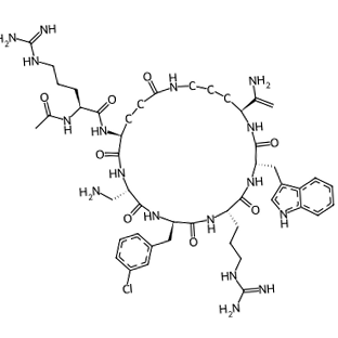 C=C(N)[C@@H]1CCCNC(=O)CC[C@H](NC(=O)[C@H](CCCNC(=N)N)NC(C)=O)C(=O)N[C@@H](CN)C(=O)N[C@H](Cc2cccc(Cl)c2)C(=O)N[C@@H](CCCNC(=N)N)C(=O)N[C@@H](Cc2c[nH]c3ccccc23)C(=O)N1